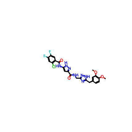 COc1ccc(Cc2nc(CNC(=O)c3cc(NC(=O)c4cc(F)c(F)cc4Cl)[nH]n3)n[nH]2)cc1OC